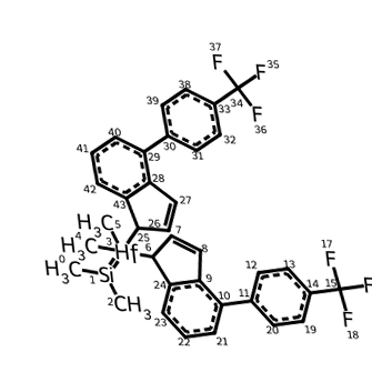 C[Si](C)=[Hf]([CH3])([CH3])([CH]1C=Cc2c(-c3ccc(C(F)(F)F)cc3)cccc21)[CH]1C=Cc2c(-c3ccc(C(F)(F)F)cc3)cccc21